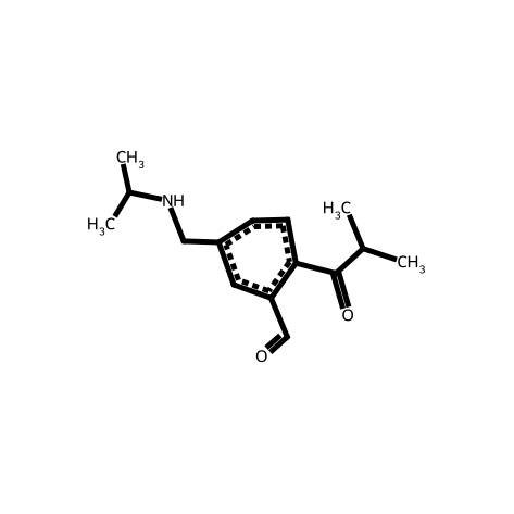 CC(C)NCc1ccc(C(=O)C(C)C)c(C=O)c1